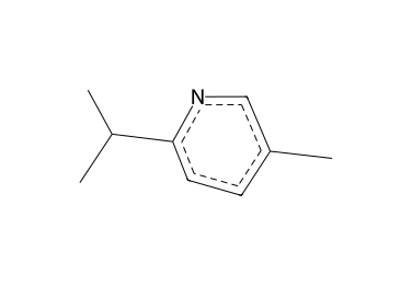 Cc1ccc(C(C)C)nc1